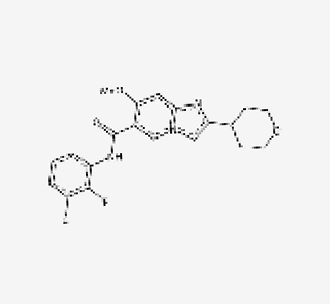 COc1cc2nc(C3CCOCC3)cn2cc1C(=O)Nc1cccc(Cl)c1F